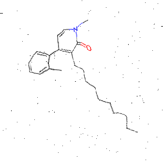 CCCCCCCCCCc1c(-c2ccccc2C)ccn(C)c1=O